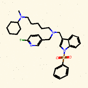 CN(CCCCCN(Cc1ccc(F)nc1)Cc1cn(S(=O)(=O)c2ccccc2)c2ccccc12)C1CCCCC1